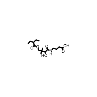 CCC(CC)C(=O)OCC(C)(C)C(O)C(=O)NCCCC(=O)O